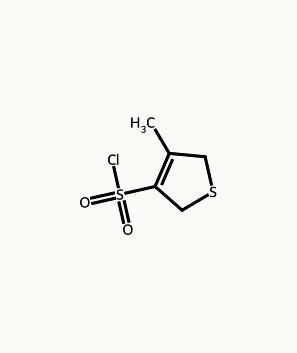 CC1=C(S(=O)(=O)Cl)CSC1